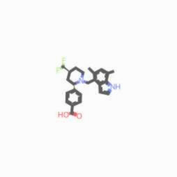 Cc1cc(C)c2[nH]ccc2c1CN1CC[C@H](C(F)F)C[C@H]1c1ccc(C(=O)O)cc1